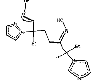 CCC(C=NO)(CCC(=NO)C(CC)(CC)n1ccnc1)n1cccn1